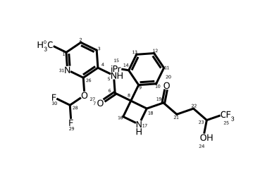 Cc1ccc(NC(=O)C2(c3ccccc3C(C)C)CNC2C(=O)CCC(O)C(F)(F)F)c(OC(F)F)n1